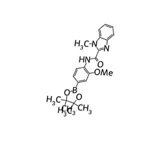 COc1cc(B2OC(C)(C)C(C)(C)O2)ccc1NC(=O)c1nc2ccccc2n1C